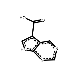 O=C(O)c1c[nH]c2ncncc12